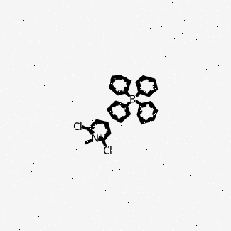 C[n+]1c(Cl)cccc1Cl.c1ccc([B-](c2ccccc2)(c2ccccc2)c2ccccc2)cc1